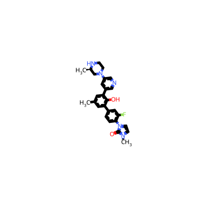 Cc1cc(-c2cncc(N3CCN[C@H](C)C3)c2)c(O)c(-c2ccc(-n3ccn(C)c3=O)c(F)c2)c1